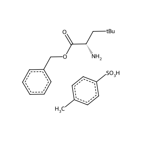 CC(C)(C)C[C@H](N)C(=O)OCc1ccccc1.Cc1ccc(S(=O)(=O)O)cc1